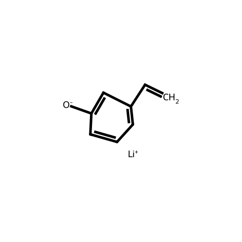 C=Cc1cccc([O-])c1.[Li+]